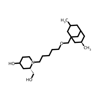 CC1CC2C[C@@H](C)CC(COCCCCCN3CCC(O)C[C@H]3CO)(C1)C2